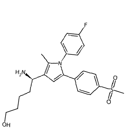 Cc1c([C@H](N)CCCCO)cc(-c2ccc(S(C)(=O)=O)cc2)n1-c1ccc(F)cc1